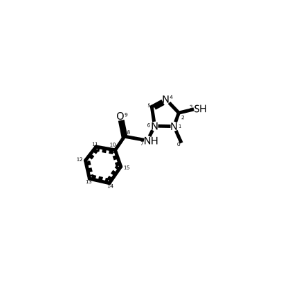 CN1C(S)N=CN1NC(=O)c1ccccc1